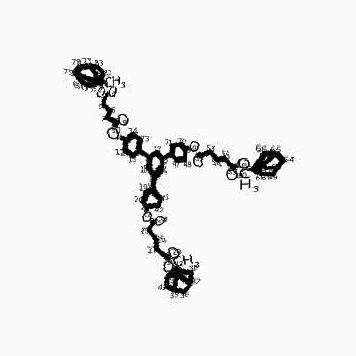 CC1(OC(=O)CCCC(=O)Oc2ccc(-c3cc(-c4ccc(OC(=O)CCCC(=O)OC5(C)C6CC7CC(C6)CC5C7)cc4)cc(-c4ccc(OC(=O)CCCC(=O)OC5(C)C6CC7CC(C6)CC5C7)cc4)c3)cc2)C2CC3CC(C2)CC1C3